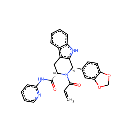 C=CC(=O)N1[C@@H](c2ccc3c(c2)OCO3)c2[nH]c3ccccc3c2C[C@H]1C(=O)Nc1ccccn1